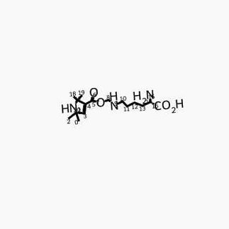 CC1(C)C=C(C(=O)OCNCCCC[C@@H](N)C(=O)O)C(C)(C)N1